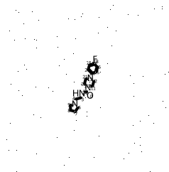 O=C(NCCN1CCCC1)N1CCN(c2ccc(F)cc2)CC1